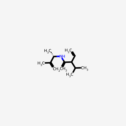 C=CC(C(=C)N[C@@H](C)C(=C)C)C(C)C